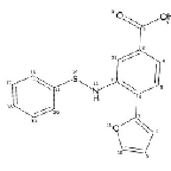 O=C(O)c1ccc(-c2ccco2)c(NSc2ccccc2)c1